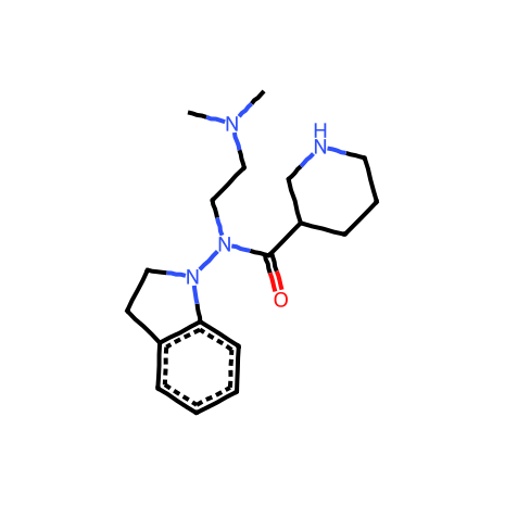 CN(C)CCN(C(=O)C1CCCNC1)N1CCc2ccccc21